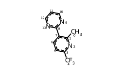 Cc1nc(C(F)(F)F)ccc1-c1ncccn1